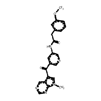 Cn1cc(C(=O)c2cncc(NC(=O)Cc3cccc(OC(F)(F)F)c3)c2)c2cncnc21